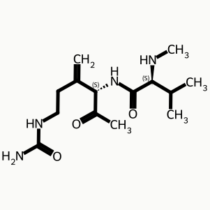 C=C(CCNC(N)=O)[C@H](NC(=O)[C@@H](NC)C(C)C)C(C)=O